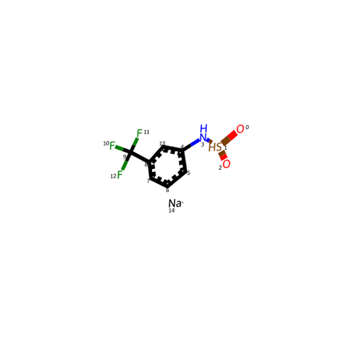 O=[SH](=O)Nc1cccc(C(F)(F)F)c1.[Na]